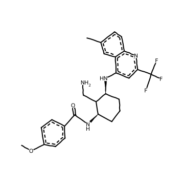 COc1ccc(C(=O)N[C@@H]2CCC[C@H](Nc3cc(C(F)(F)F)nc4ccc(C)cc34)C2CN)cc1